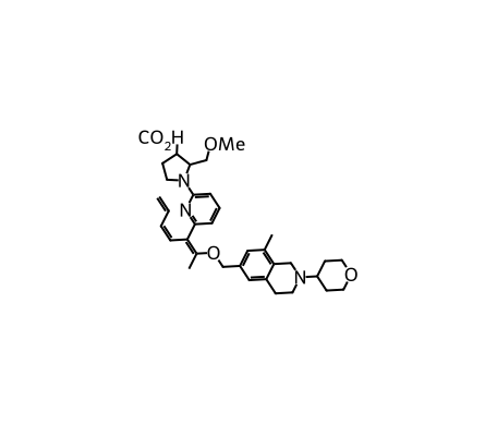 C=C/C=C\C(=C(/C)OCc1cc(C)c2c(c1)CCN(C1CCOCC1)C2)c1cccc(N2CCC(C(=O)O)C2COC)n1